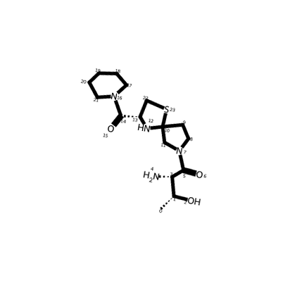 C[C@@H](O)[C@H](N)C(=O)N1CCC2(C1)N[C@H](C(=O)N1CCCCC1)CS2